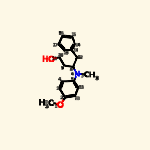 COc1ccc(N(C)C(CCO)Cc2ccccc2)cc1